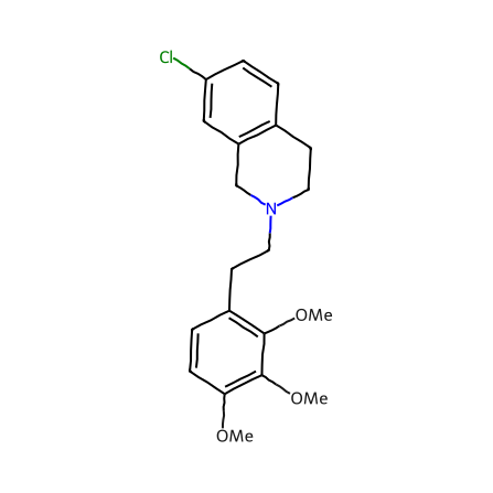 COc1ccc(CCN2CCc3ccc(Cl)cc3C2)c(OC)c1OC